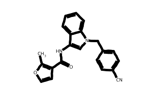 Cc1occc1C(=O)Nc1cn(Cc2ccc(C#N)cc2)c2ccccc12